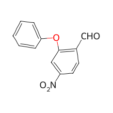 O=Cc1ccc([N+](=O)[O-])cc1Oc1ccccc1